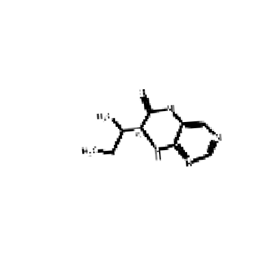 CCC(C)[C@@H]1Nc2ncncc2NC1=O